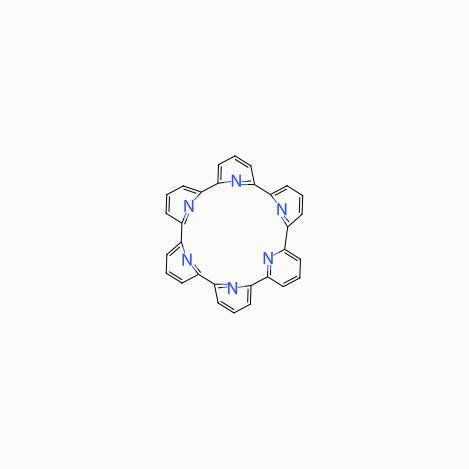 c1cc2nc(c1)c1cccc(n1)c1cccc(n1)c1cccc(n1)c1cccc(n1)c1cccc2n1